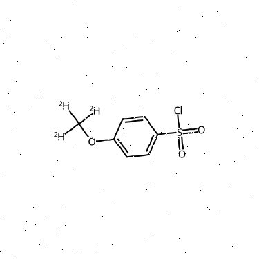 [2H]C([2H])([2H])Oc1ccc(S(=O)(=O)Cl)cc1